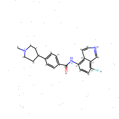 CN1CCC(c2ccc(C(=O)Nc3ccc(F)c4cnccc34)cc2)CC1